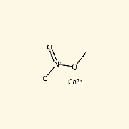 CO[N+](=O)[O-].[Ca+2]